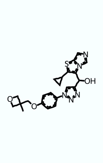 CC1(COc2ccc(-n3cc(C(O)c4c(C5CC5)sc5cncn45)nn3)cc2)COC1